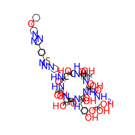 C[C@@H](O)[C@@H]1NC(=O)[C@@H](NCC2CCN(c3nnc(-c4ccc(-c5cnc(N6CCC(OC7CCCCC7)CC6)nc5)cc4)s3)CC2)C[C@@H](O)CNC(=O)[C@@H]2[C@@H](O)[C@@H](C)CN2C(=O)[C@H]([C@H](O)CC(N)=O)NC(=O)[C@H]([C@H](O)Cc2ccc(O)c(OC[C@@H](O)CO)c2)NC(=O)[C@@H]2C[C@@H](O)CN2C1=O